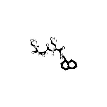 CCC[C@H](NC(=O)[C@H]1O[C@@H]1C(=O)NCC)C(=O)NCc1cccc2ccccc12